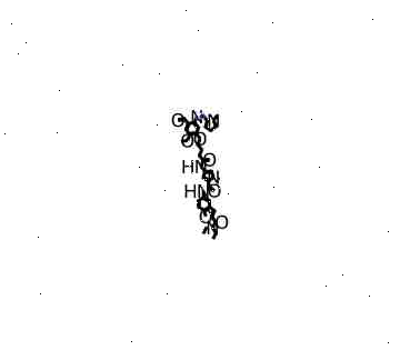 CCN(CC)C(=O)c1cc2cc(NC(=O)c3cc(NC(=O)CCCOc4cc(/N=C\C5CCCN5C)c(C=O)cc4OC)cn3C)ccc2o1